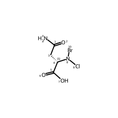 NC(=O)C[C@@H](C(=O)O)N(Cl)Br